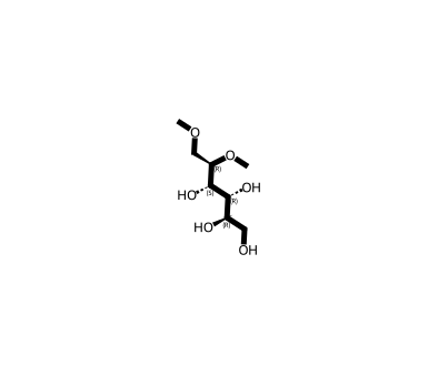 COC[C@@H](OC)[C@@H](O)[C@H](O)[C@H](O)CO